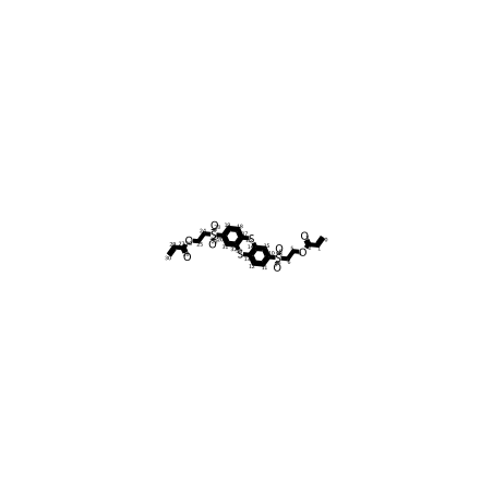 C=CC(=O)OCCS(=O)(=O)c1ccc2c(c1)Sc1ccc(S(=O)(=O)CCOC(=O)C=C)cc1S2